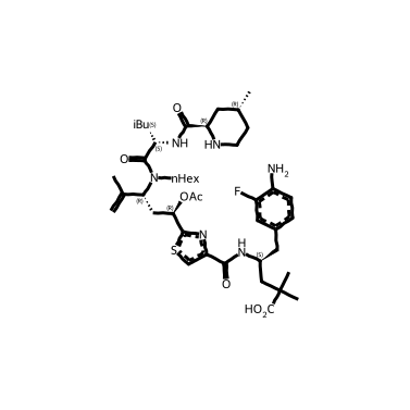 C=C(C)[C@@H](C[C@@H](OC(C)=O)c1nc(C(=O)N[C@@H](Cc2ccc(N)c(F)c2)CC(C)(C)C(=O)O)cs1)N(CCCCCC)C(=O)[C@@H](NC(=O)[C@H]1C[C@H](C)CCN1)[C@@H](C)CC